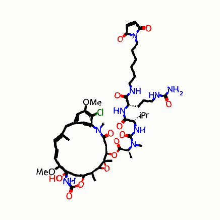 COc1cc2cc(c1Cl)N(C)C(=O)CC(OC(=O)[C@H](C)N(C)C(=O)N[C@H](C(=O)N[C@@H](CCCNC(N)=O)C(=O)NCCCCCCN1C(=O)C=CC1=O)C(C)C)C1(C)OC1C(C)C1CC(O)(NC(=O)O1)C(OC)/C=C/C=C(\C)C2